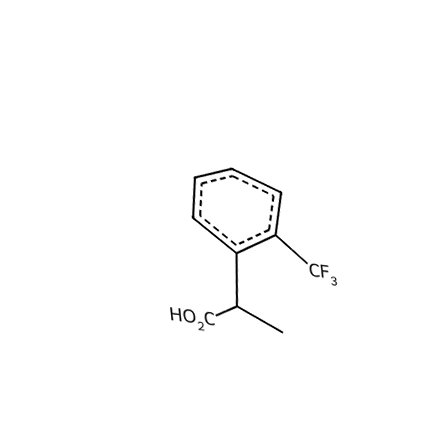 CC(C(=O)O)c1ccccc1C(F)(F)F